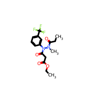 CCOC(=O)CC(=O)N(c1cccc(C(F)(F)F)c1)N(C)C(=O)CC